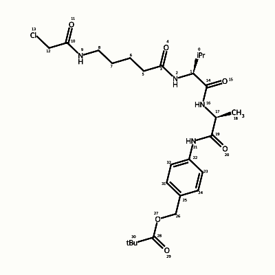 CC(C)[C@H](NC(=O)CCCCNC(=O)CCl)C(=O)N[C@@H](C)C(=O)Nc1ccc(COC(=O)C(C)(C)C)cc1